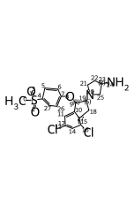 CS(=O)(=O)c1ccc(O[C@@H]2c3cc(Cl)cc(Cl)c3C[C@@H]2N2CC[C@@H](N)C2)cc1